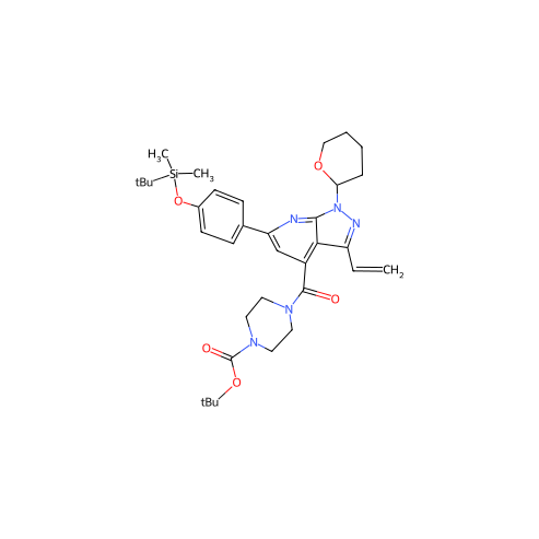 C=Cc1nn(C2CCCCO2)c2nc(-c3ccc(O[Si](C)(C)C(C)(C)C)cc3)cc(C(=O)N3CCN(C(=O)OC(C)(C)C)CC3)c12